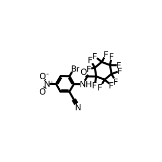 N#Cc1cc([N+](=O)[O-])cc(Br)c1NC(=O)C1(F)C(F)(F)C(F)(F)C(F)(F)C(F)(F)C1(F)F